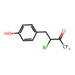 O=C(C(Br)Cc1ccc(O)cc1)C(F)(F)F